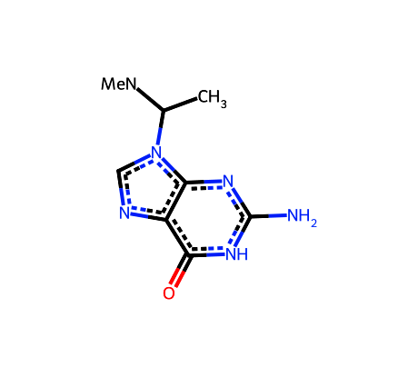 CNC(C)n1cnc2c(=O)[nH]c(N)nc21